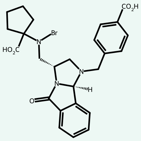 O=C(O)c1ccc(CN2C[C@@H](CN(Br)C3(C(=O)O)CCCC3)N3C(=O)c4ccccc4[C@H]23)cc1